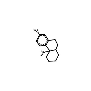 CNC12CCCCC1CCc1cc(O)ccc12